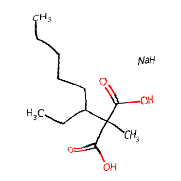 CCCCCC(CC)C(C)(C(=O)O)C(=O)O.[NaH]